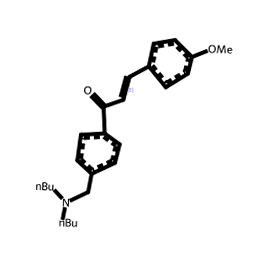 CCCCN(CCCC)Cc1ccc(C(=O)/C=C/c2ccc(OC)cc2)cc1